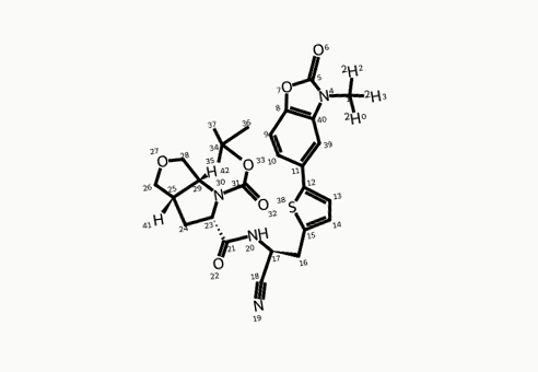 [2H]C([2H])([2H])n1c(=O)oc2ccc(-c3ccc(C[C@@H](C#N)NC(=O)[C@@H]4C[C@@H]5COC[C@@H]5N4C(=O)OC(C)(C)C)s3)cc21